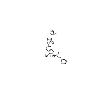 Cn1nccc1CNC(=O)OC1CCc2c(sc(NC(=O)/C=C/c3cccnc3)c2C#N)C1